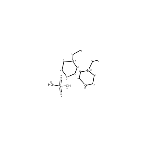 CCN1CCOCC1.CCN1CCOCC1.O=S(=O)(O)O